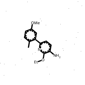 CCOc1nc(-c2cc(OC)ccc2C)ccc1N